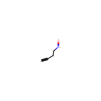 C#CCCN=O